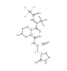 CC1CCN(C(=O)[C@@H](NC(=O)C(F)(F)F)C(C)(C)C)C(C(=O)N[C@H](C#N)C[C@@H]2CCNC2=O)C1